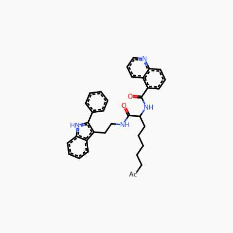 CC(=O)CCCCCC(NC(=O)c1cccc2ncccc12)C(=O)NCCc1c(-c2ccccc2)[nH]c2ccccc12